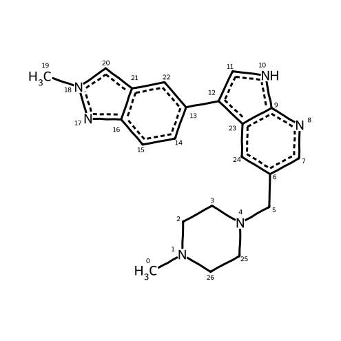 CN1CCN(Cc2cnc3[nH]cc(-c4ccc5nn(C)cc5c4)c3c2)CC1